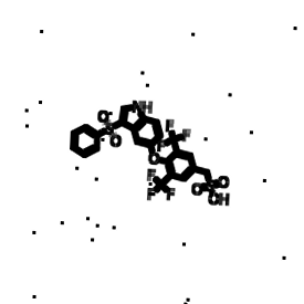 O=S(=O)(O)Cc1cc(C(F)(F)F)c(Oc2ccc3[nH]cc(S(=O)(=O)c4ccccc4)c3c2)c(C(F)(F)F)c1